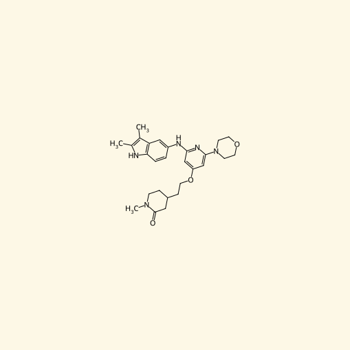 Cc1[nH]c2ccc(Nc3cc(OCCC4CCN(C)C(=O)C4)cc(N4CCOCC4)n3)cc2c1C